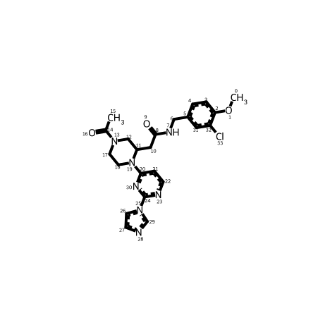 COc1ccc(CNC(=O)CC2CN(C(C)=O)CCN2c2ccnc(-n3ccnc3)n2)cc1Cl